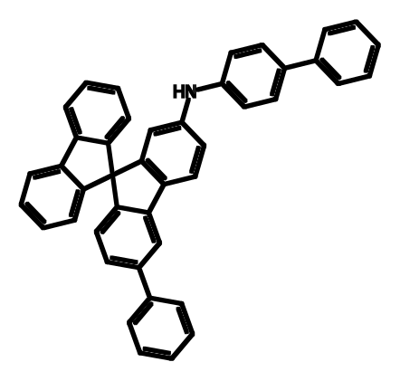 c1ccc(-c2ccc(Nc3ccc4c(c3)C3(c5ccccc5-c5ccccc53)c3ccc(-c5ccccc5)cc3-4)cc2)cc1